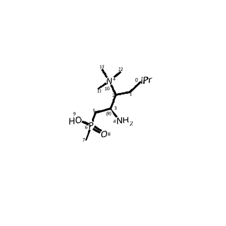 CC(C)CC([C@@H](N)CP(C)(=O)O)[N+](C)(C)C